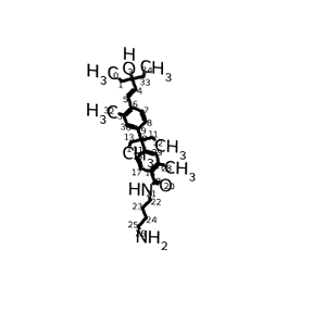 CCC(O)(C=Cc1ccc(C(CC)(CC)c2ccc(C(=O)NCCCCN)c(C)c2)cc1C)CC